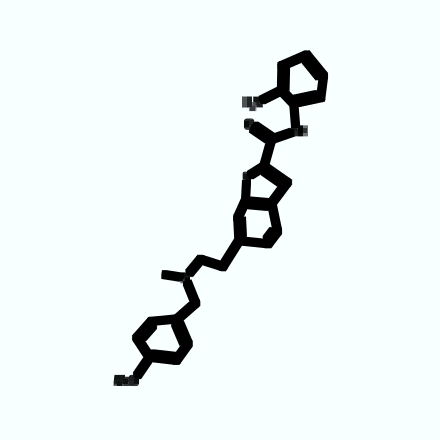 COc1ccc(CN(C)CCc2ccc3cc(C(=O)Nc4ccccc4N)sc3c2)cc1